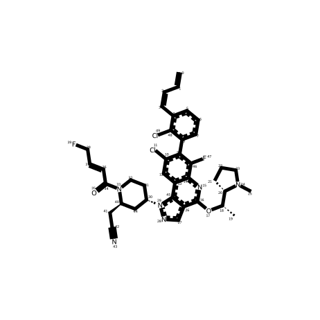 C=C/C=C\c1cccc(-c2c(Cl)cc3c(nc(O[C@@H](C)[C@@H]4CCCN4C)c4cnn([C@H]5CCN(C(=O)/C=C/CF)[C@H](CC#N)C5)c43)c2F)c1Cl